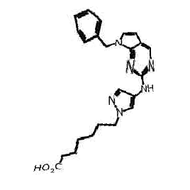 O=C(O)CCCCCCn1cc(Nc2ncc3ccn(Cc4ccccc4)c3n2)cn1